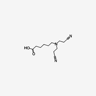 N#CCCN(CCC#N)CCCCCC(=O)O